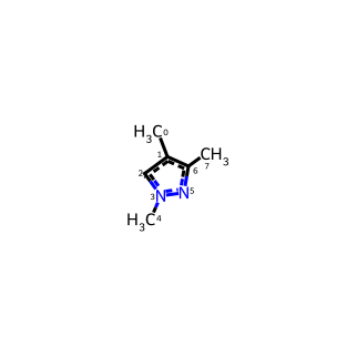 Cc1[c]n(C)nc1C